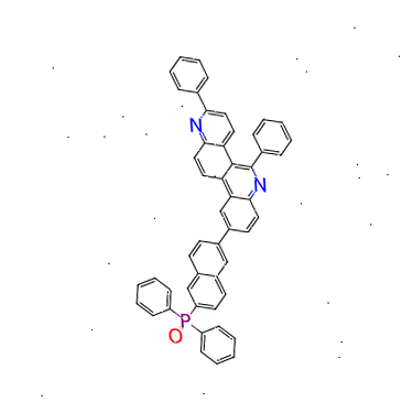 O=P(c1ccccc1)(c1ccccc1)c1ccc2cc(-c3ccc4nc(-c5ccccc5)c5c6ccc(-c7ccccc7)nc6ccc5c4c3)ccc2c1